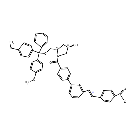 COc1ccc(C(OC[C@@H]2C[C@@H](O)CN2C(=O)c2ccc(-c3cccc(/C=C/c4ccc([N+](=O)[O-])cc4)n3)cc2)(c2ccccc2)c2ccc(OC)cc2)cc1